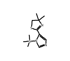 CC1(C)CSC(c2cncn2[Si](C)(C)C)=N1